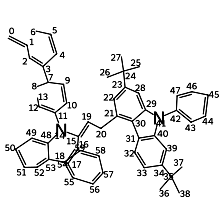 C=C/C=C(\C=C/C)C(C)/C=C\C(=C/C)N(C(/C=C\C)=C/Cc1cc(C(C)(C)C)cc2c1c1ccc(C(C)(C)C)cc1n2-c1ccccc1)c1ccccc1-c1ccccc1